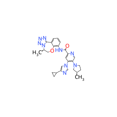 C[C@@H]1CCN(c2cnc(C(=O)Nc3cccc4c3OC[C@@H](C)n3nnnc3-4)cc2-n2cnc(C3CC3)c2)C1